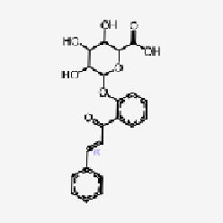 O=C(/C=C/c1ccccc1)c1ccccc1OC1OC(C(=O)O)C(O)C(O)C1O